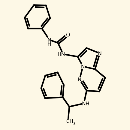 CC(Nc1ccc2ncc(NC(=O)Nc3ccccc3)n2n1)c1ccccc1